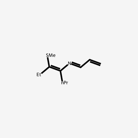 C=C/C=N/C(CCC)=C(/CC)SC